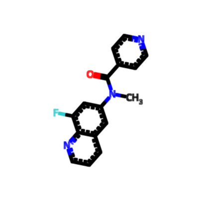 CN(C(=O)c1ccncc1)c1cc(F)c2ncccc2c1